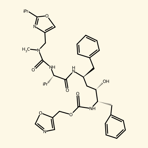 CC(C)c1nc(CN(C)C(=O)N[C@H](C(=O)N[C@@H](Cc2ccccc2)C[C@H](O)[C@H](Cc2ccccc2)NC(=O)OCc2cnco2)C(C)C)co1